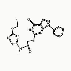 CCSc1nnc(N(C)C(=O)CSc2nc3c(cnn3-c3ccccc3)c(=O)[nH]2)s1